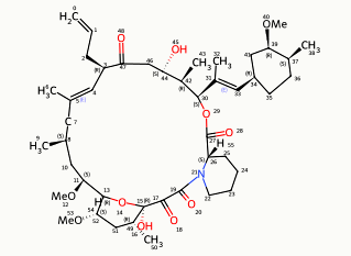 C=CC[C@@H]1/C=C(\C)C[C@H](C)C[C@H](OC)[C@H]2O[C@@](O)(C(=O)C(=O)N3CCCC[C@H]3C(=O)O[C@H](/C(C)=C/[C@@H]3CC[C@H](C)[C@H](OC)C3)[C@H](C)[C@@H](O)CC1=O)[C@H](C)C[C@@H]2OC